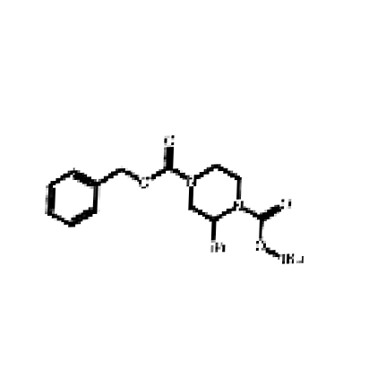 CC(C)C1CN(C(=O)OCc2ccccc2)CCN1C(=O)OC(C)(C)C